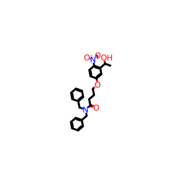 CC(O)c1cc(OCCCC(=O)N(Cc2ccccc2)Cc2ccccc2)ccc1[N+](=O)[O-]